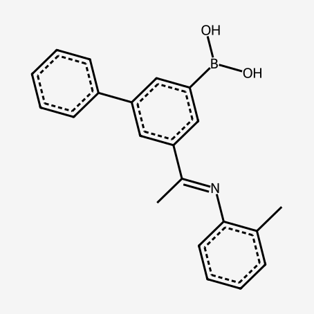 C/C(=N\c1ccccc1C)c1cc(B(O)O)cc(-c2ccccc2)c1